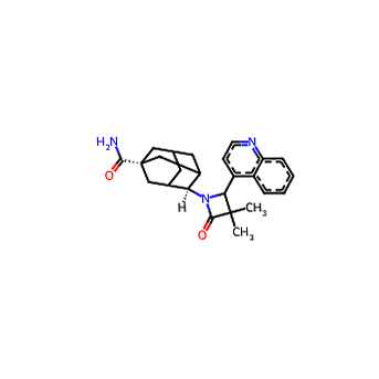 CC1(C)C(=O)N([C@H]2C3CC4CC2C[C@](C(N)=O)(C4)C3)C1c1ccnc2ccccc12